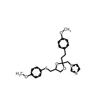 COc1ccc(CCC2(Cn3ccnc3)OCC(CSc3ccc(OC)cc3)O2)cc1